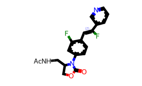 CC(=O)NCC1COC(=O)N1c1ccc(/C=C(\F)c2cccnc2)c(F)c1